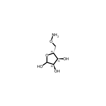 NOC[C@H]1OC(O)[C@H](O)[C@@H]1O